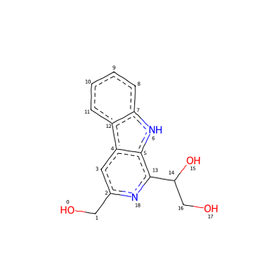 OCc1cc2c([nH]c3ccccc32)c(C(O)CO)n1